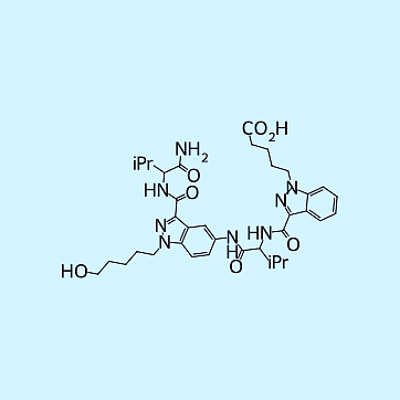 CC(C)C(NC(=O)c1nn(CCCCCO)c2ccc(NC(=O)C(NC(=O)c3nn(CCCCC(=O)O)c4ccccc34)C(C)C)cc12)C(N)=O